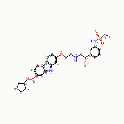 CS(=O)(=O)Nc1cccc(C(O)CNCCOc2ccc3c(c2)[nH]c2cc(OCC4CCCC4)ccc23)c1